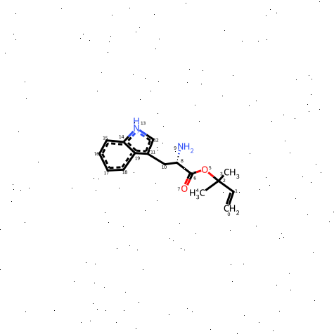 C=CC(C)(C)OC(=O)[C@@H](N)Cc1c[nH]c2ccccc12